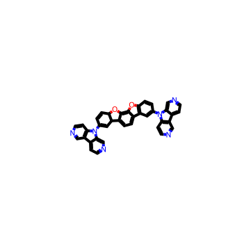 C1=CC2Oc3c(ccc4c3oc3ccc(-n5c6ccncc6c6ccncc65)cc34)C2C=C1n1c2ccncc2c2ccncc21